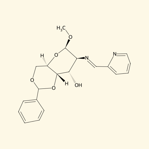 CO[C@@H]1O[C@@H]2COC(c3ccccc3)O[C@H]2[C@@H](O)[C@@H]1N=Cc1ccccn1